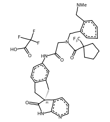 CNCc1ccccc1CN(CC(=O)Nc1ccc2c(c1)C[C@@]1(C2)C(=O)Nc2ncccc21)C(=O)C1(C(F)(F)F)CCCC1.O=C(O)C(F)(F)F